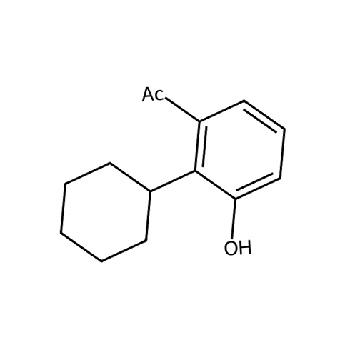 CC(=O)c1cccc(O)c1C1CCCCC1